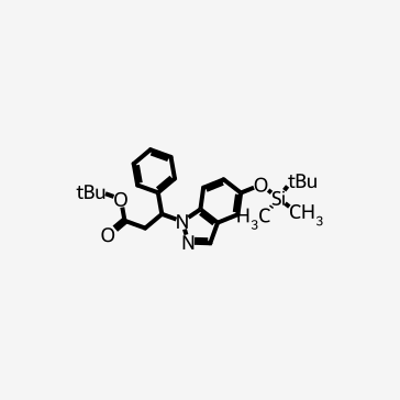 CC(C)(C)OC(=O)CC(c1ccccc1)n1ncc2cc(O[Si](C)(C)C(C)(C)C)ccc21